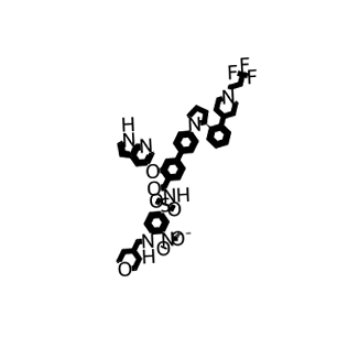 O=C(NS(=O)(=O)c1ccc(NCC2CCOCC2)c([N+](=O)[O-])c1)c1ccc(-c2ccc(N3CCC[C@@H]3c3ccccc3C3CCN(CCC(F)(F)F)CC3)cc2)cc1Oc1cnc2[nH]ccc2c1